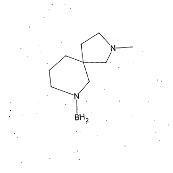 BN1CCCC2(CCN(C)C2)C1